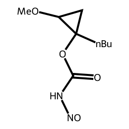 CCCCC1(OC(=O)NN=O)CC1OC